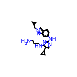 NCCCNc1nc(Nc2ccc3cn(CC4CC4)nc3c2)ncc1C1CC1